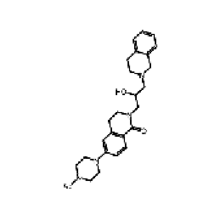 CC(=O)N1CCN(c2ccc3c(c2)CCN(CC(O)CN2CCc4ccccc4C2)C3=O)CC1